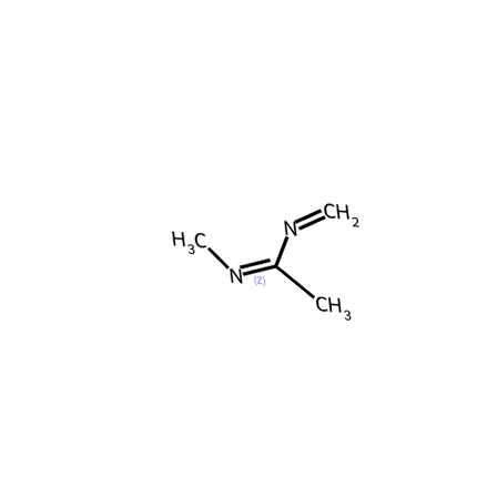 C=N/C(C)=N\C